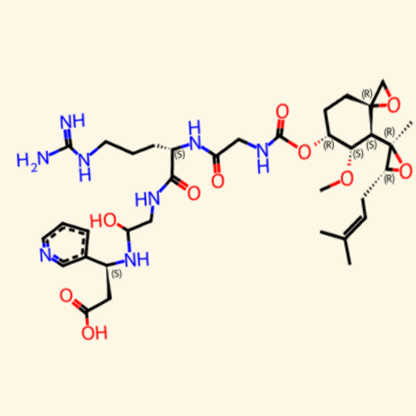 CO[C@@H]1[C@H](OC(=O)NCC(=O)N[C@@H](CCCNC(=N)N)C(=O)NCC(O)N[C@@H](CC(=O)O)c2cccnc2)CC[C@]2(CO2)[C@H]1[C@@]1(C)O[C@@H]1CC=C(C)C